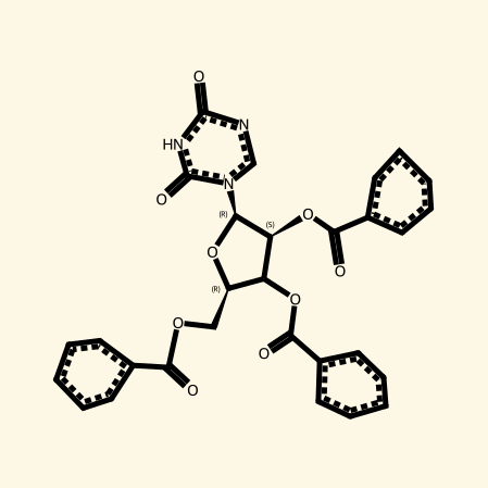 O=C(OC[C@H]1O[C@@H](n2cnc(=O)[nH]c2=O)[C@@H](OC(=O)c2ccccc2)C1OC(=O)c1ccccc1)c1ccccc1